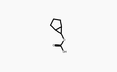 O=C(O)OC1C2CCCC21